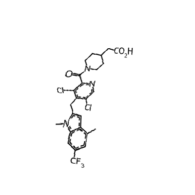 Cc1cc(C(F)(F)F)cc2c1cc(Cc1c(Cl)cnc(C(=O)N3CCC(CC(=O)O)CC3)c1Cl)n2C